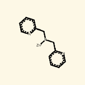 [Zn+][N](Cc1ccccn1)Cc1ccccn1